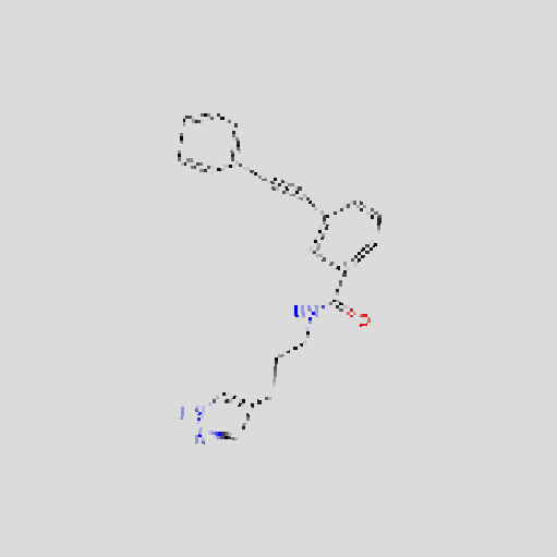 O=C(NCCCc1cn[nH]c1)c1cccc(C#Cc2ccccc2)c1